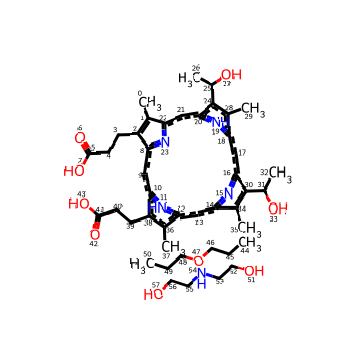 CC1=C(CCC(=O)O)c2cc3[nH]c(cc4nc(cc5[nH]c(cc1n2)c(C(C)O)c5C)C(C(C)O)=C4C)c(C)c3CCC(=O)O.CCCOCCC.OCCNCCO